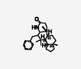 CC1(C)C(Cc2ccccc2)C2NC(=O)CC[C@]2(C)[C@@H]2CC[C@]3(C)CCC[C@H]3[C@@H]21